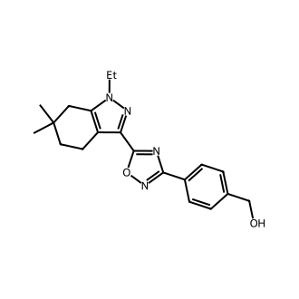 CCn1nc(-c2nc(-c3ccc(CO)cc3)no2)c2c1CC(C)(C)CC2